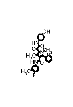 Cc1cc(NC(=O)c2c(C)c(C(=O)C(=O)NC3CCC(O)CC3)n(C)c2-c2ccccn2)ccc1F